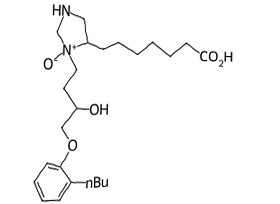 CCCCc1ccccc1OCC(O)CC[N+]1([O-])CNCC1CCCCCCC(=O)O